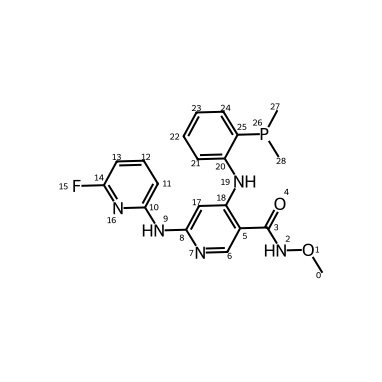 CONC(=O)c1cnc(Nc2cccc(F)n2)cc1Nc1ccccc1P(C)C